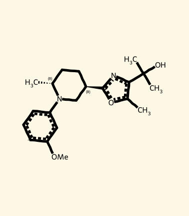 COc1[c]ccc(N2C[C@H](c3nc(C(C)(C)O)c(C)o3)CC[C@H]2C)c1